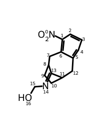 O=[N+]([O-])c1cccc2c1CC1CCC(C2)/C1=N/CO